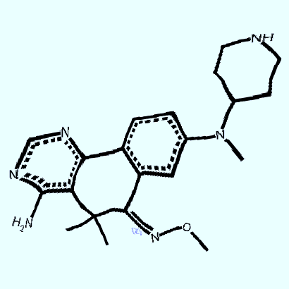 CO/N=C1\c2cc(N(C)C3CCNCC3)ccc2-c2ncnc(N)c2C1(C)C